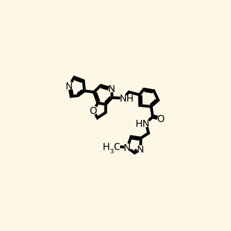 Cn1cnc(CNC(=O)c2cccc(CNc3ncc(-c4ccncc4)c4c3CCO4)c2)c1